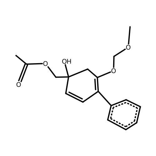 COCOC1=C(c2ccccc2)C=CC(O)(COC(C)=O)C1